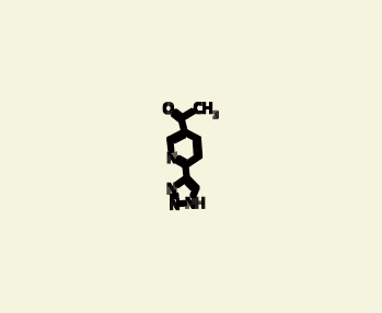 CC(=O)c1ccc(-c2c[nH]nn2)nc1